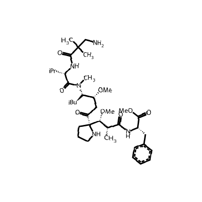 CC[C@H](C)[C@@H]([C@@H](CC(=O)[C@@]1([C@H](OC)[C@@H](C)C(=O)N[C@@H](Cc2ccccc2)C(=O)OC)CCCN1)OC)N(C)C(=O)[C@@H](NC(=O)C(C)(C)CN)C(C)C